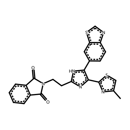 Cc1csc(-c2nc(CCN3C(=O)c4ccccc4C3=O)[nH]c2-c2ccc3ncsc3c2)n1